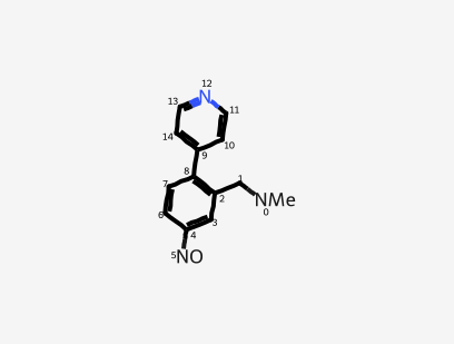 CNCc1cc(N=O)ccc1-c1ccncc1